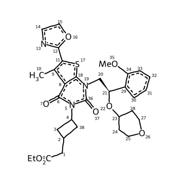 CCOC(=O)CC1CC(n2c(=O)c3c(C)c(-c4ncco4)sc3n(C[C@H](OC3CCOCC3)c3ccccc3OC)c2=O)C1